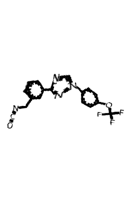 O=C=NCc1cccc(-c2ncn(-c3ccc(OC(F)(F)F)cc3)n2)c1